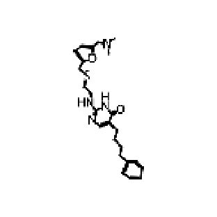 CN(C)Cc1ccc(CSCCNc2ncc(CCCCc3ccccc3)c(=O)[nH]2)o1